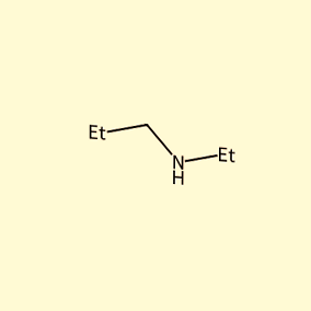 [CH2]CNCCC